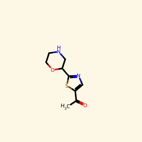 CC(=O)c1cnc(C2CNCCO2)s1